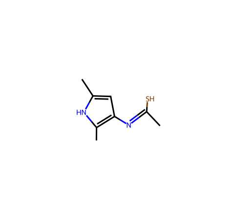 C/C(S)=N/c1cc(C)[nH]c1C